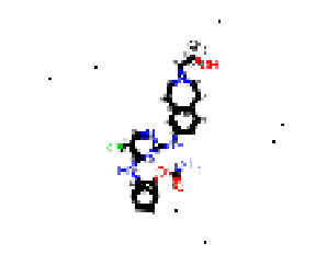 NC(=O)OC1C2C=CC(C2)C1Nc1nc(Nc2ccc3c(c2)CCN(C[C@@H](O)C(F)(F)F)CC3)ncc1Cl